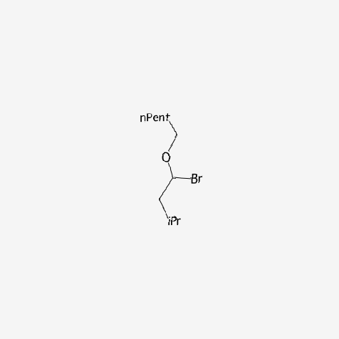 CCCCCCOC(Br)CC(C)C